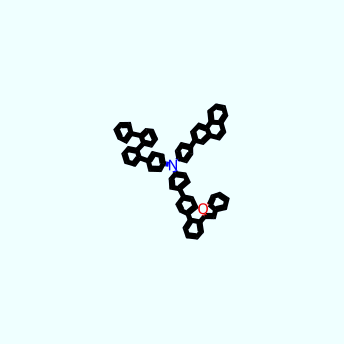 c1ccc(-c2ccccc2-c2ccccc2-c2ccc(N(c3ccc(-c4ccc(-c5ccccc5-c5cc6ccccc6o5)cc4)cc3)c3ccc(-c4ccc5c(ccc6ccccc65)c4)cc3)cc2)cc1